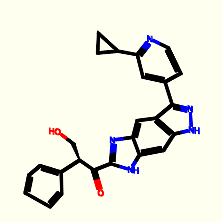 O=C(c1nc2cc3c(-c4ccnc(C5CC5)c4)n[nH]c3cc2[nH]1)[C@H](CO)c1ccccc1